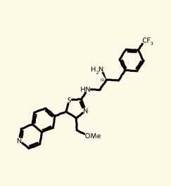 COCC1N=C(NC[C@@H](N)Cc2ccc(C(F)(F)F)cc2)SC1c1ccc2cnccc2c1